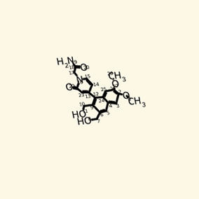 COc1cc2cc(CO)c(CO)c(-c3ccn(CC(N)=O)c(=O)c3)c2cc1OC